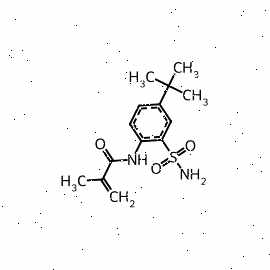 C=C(C)C(=O)Nc1ccc(C(C)(C)C)cc1S(N)(=O)=O